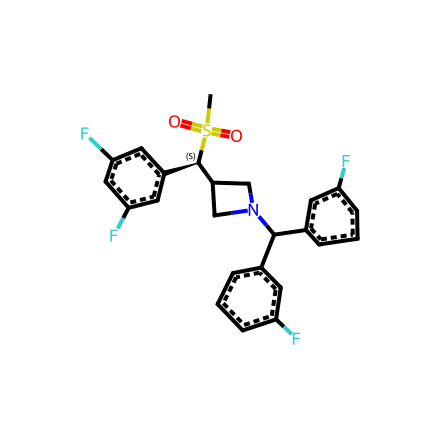 CS(=O)(=O)[C@H](c1cc(F)cc(F)c1)C1CN(C(c2cccc(F)c2)c2cccc(F)c2)C1